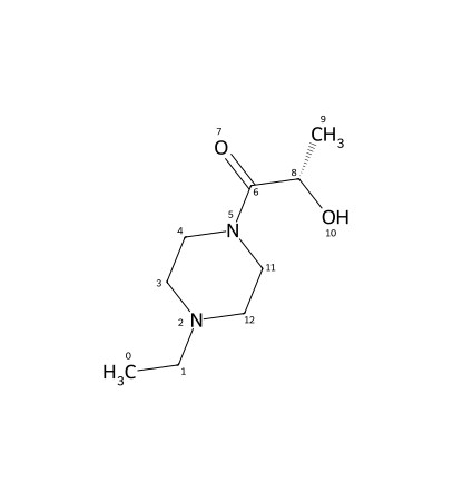 CCN1CCN(C(=O)[C@H](C)O)CC1